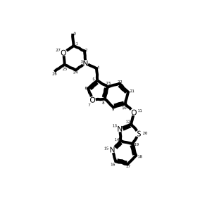 CC1CN(Cc2coc3cc(Oc4nc5ncccc5s4)ccc23)CC(C)O1